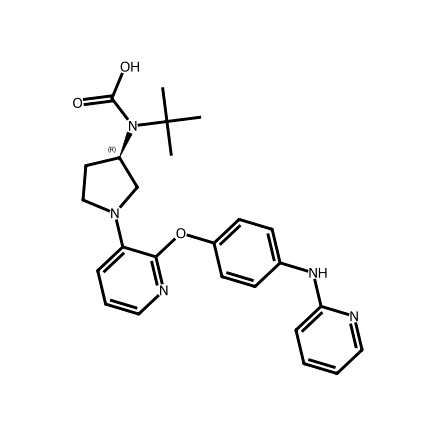 CC(C)(C)N(C(=O)O)[C@@H]1CCN(c2cccnc2Oc2ccc(Nc3ccccn3)cc2)C1